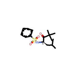 CC(C)C[C@@H](NS(=O)(=O)c1ccccc1)C(=O)C(C)(C)C